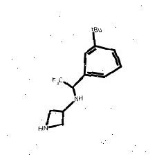 CC(C)(C)c1cccc(C(NC2CNC2)C(F)(F)F)c1